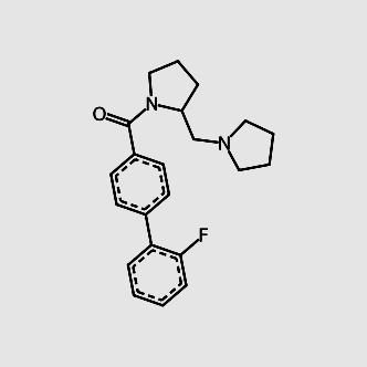 O=C(c1ccc(-c2ccccc2F)cc1)N1CCCC1CN1CCCC1